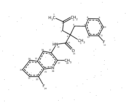 C=C(C)CC(C)(Cc1cccc(F)c1)C(=O)Nc1cc2cccc(F)c2nc1C